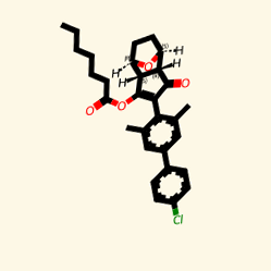 CCCCCCC(=O)OC1=C(c2c(C)cc(-c3ccc(Cl)cc3)cc2C)C(=O)[C@@H]2[C@H]1[C@H]1CC[C@@H]2O1